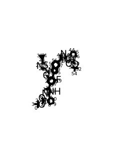 CC(C)(C)OC(=O)N1CCCC1c1ncc(-c2cc(F)c3c(c2)O[C@@H](c2cnc(C4CC4)s2)n2c-3cc3cc(-c4cnc([C@@H]5CCCN5C(=O)OC(C)(C)C)[nH]4)ccc32)[nH]1